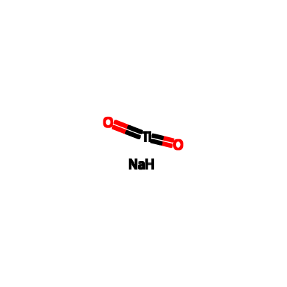 [NaH].[O]=[Ti]=[O]